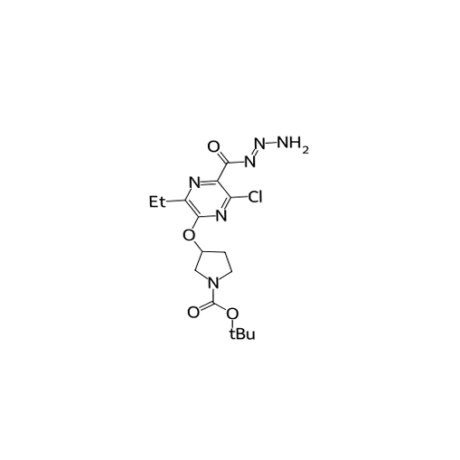 CCc1nc(C(=O)N=NN)c(Cl)nc1OC1CCN(C(=O)OC(C)(C)C)C1